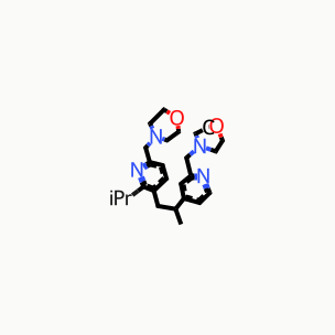 CC(C)c1nc(CN2CCOCC2)ccc1CC(C)c1ccnc(CN2CCOCC2)c1